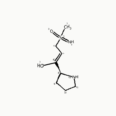 CS(=N)(=O)CC=C(O)[C@@H]1CCCN1